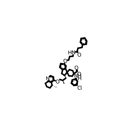 C[C@@H](COc1ccnc2c1[C@H](C)CCC2)C[C@H]1Cc2ccc(OCCCNC(=O)CCc3ccccc3)cc2C12CCC(Nc1cccc(Cl)c1)(C(=O)O)CC2